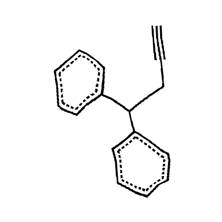 C#CCC(c1ccccc1)c1ccccc1